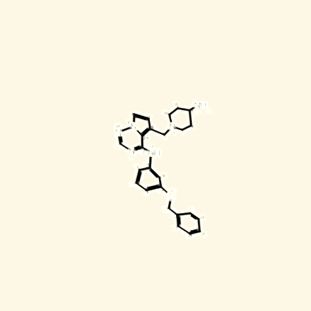 NC1CCN(Cc2ccn3ncnc(Nc4cccc(OCc5ccccc5)c4)c23)CC1